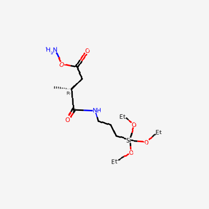 CCO[Si](CCCNC(=O)[C@H](C)CC(=O)ON)(OCC)OCC